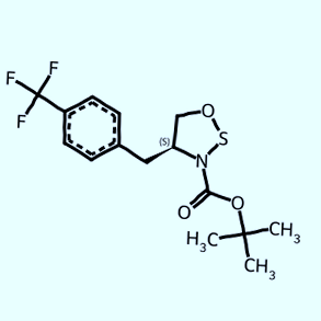 CC(C)(C)OC(=O)N1SOC[C@@H]1Cc1ccc(C(F)(F)F)cc1